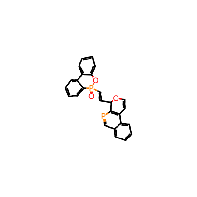 O=P1(C=CC2OC=Cc3c2pcc2ccccc32)Oc2ccccc2-c2ccccc21